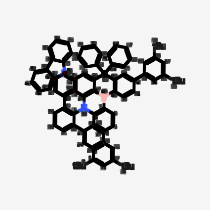 CC(C)(C)c1cc(-c2ccc3c(c2)N(c2c(-c4ccccc4)cccc2-c2ccccc2)c2cc(-n4c5ccccc5c5ccccc54)cc4c2B3c2ccc(-c3cc(C(C)(C)C)cc(C(C)(C)C)c3)cc2[Si]4(c2ccccc2)c2ccccc2)cc(C(C)(C)C)c1